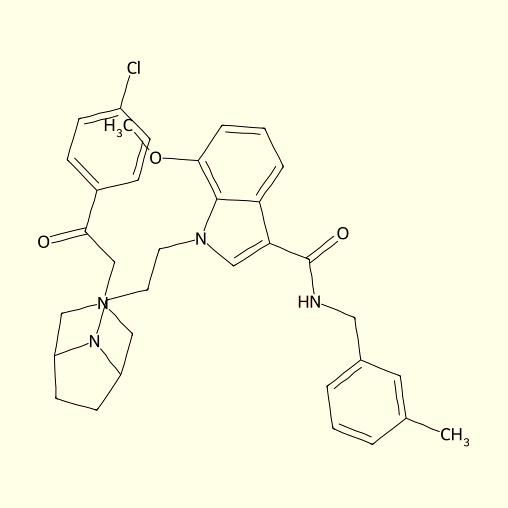 COc1cccc2c(C(=O)NCc3cccc(C)c3)cn(CCCN3C4CCC3CN(CC(=O)c3ccc(Cl)cc3)C4)c12